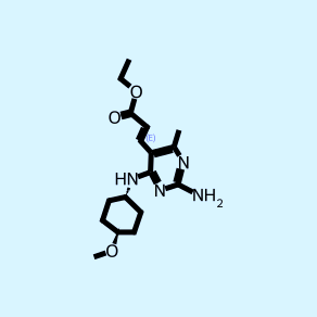 CCOC(=O)/C=C/c1c(C)nc(N)nc1N[C@H]1CC[C@H](OC)CC1